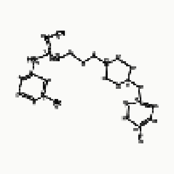 CC(=O)c1cccc(NC(=NC#N)NCCCN2CCC(Cc3ccc(F)cc3)CC2)c1